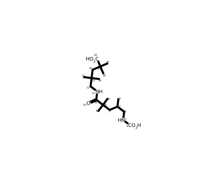 CC(CNC(=O)O)CC(C)(C)C(=O)NCC(C)(C)CC(C)(C)C(=O)O